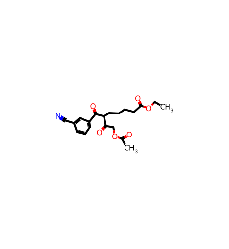 CCOC(=O)CCCCC(C(=O)COC(C)=O)C(=O)c1cccc(C#N)c1